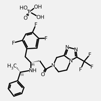 C[C@H](N[C@@H](CC(=O)N1CCn2c(nnc2C(F)(F)F)C1)Cc1cc(F)c(F)cc1F)c1ccccc1.O=P(O)(O)O